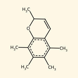 Cc1c(C)c(C)c2c(c1C)C=CC(C)O2